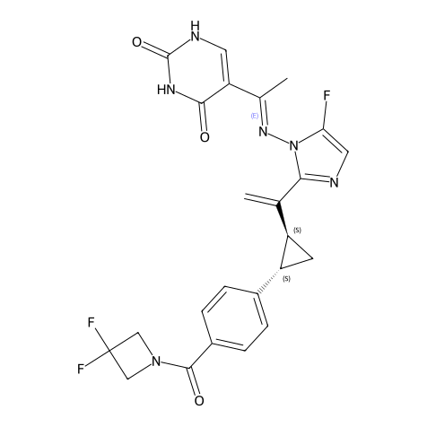 C=C(c1ncc(F)n1/N=C(\C)c1c[nH]c(=O)[nH]c1=O)[C@H]1C[C@@H]1c1ccc(C(=O)N2CC(F)(F)C2)cc1